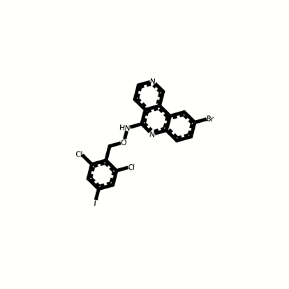 Clc1cc(I)cc(Cl)c1CONc1nc2ccc(Br)cc2c2cnccc12